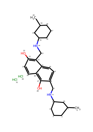 CC1CCCC(NCc2ccc3c(CNC4CCCC(C)C4)c(O)ccc3c2O)C1.Cl.Cl